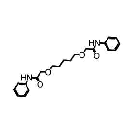 O=C(COCCCCCOCC(=O)Nc1ccccc1)Nc1ccccc1